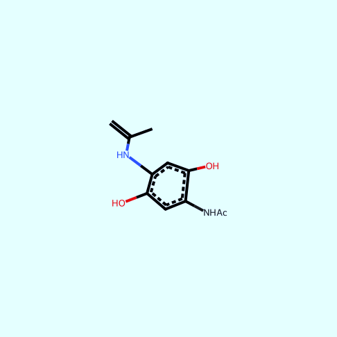 C=C(C)Nc1cc(O)c(NC(C)=O)cc1O